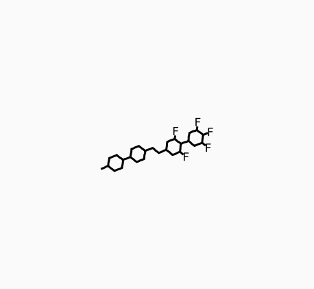 CC1CCC(C2CCC(CCC3CC(F)C(C4CC(F)C(F)C(F)C4)C(F)C3)CC2)CC1